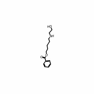 O=C(OCCCCCNCCO)c1ccccc1